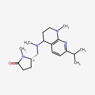 CC(C)c1ccc2c(n1)N(C)CCC2N(C)C[C@@H]1CCC(=O)N1C